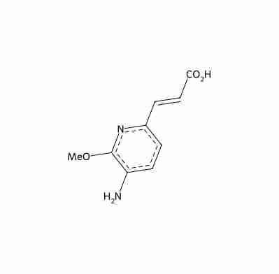 COc1nc(/C=C/C(=O)O)ccc1N